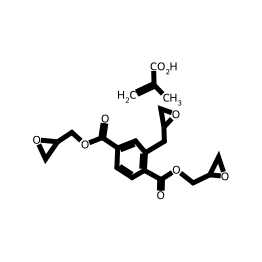 C=C(C)C(=O)O.O=C(OCC1CO1)c1ccc(C(=O)OCC2CO2)c(CC2CO2)c1